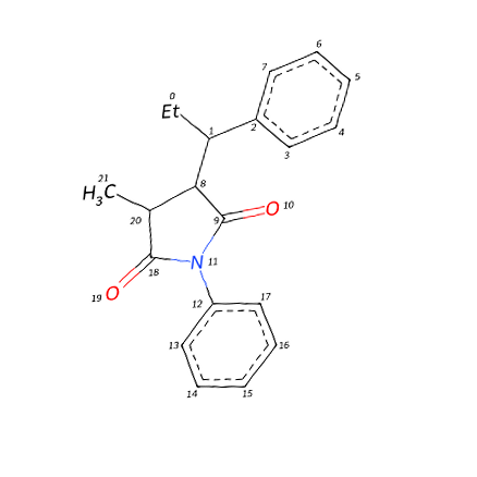 CCC(c1ccccc1)C1C(=O)N(c2ccccc2)C(=O)C1C